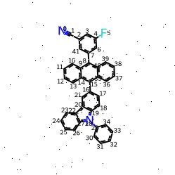 N#Cc1cc(F)cc(-c2c3ccccc3c(-c3ccc4c(c3)c3ccccc3n4-c3ccccc3)c3ccccc23)c1